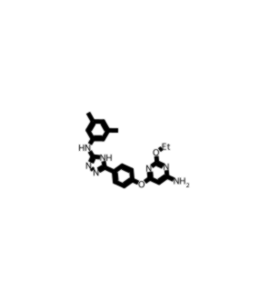 CCOc1nc(N)cc(Oc2ccc(-c3nnc(Nc4cc(C)cc(C)c4)[nH]3)cc2)n1